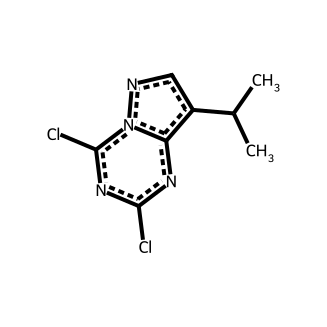 CC(C)c1cnn2c(Cl)nc(Cl)nc12